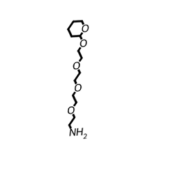 NCCOCCOCCOCCOC1CCCCO1